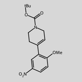 COc1ccc([N+](=O)[O-])cc1C1=CCN(C(=O)OC(C)(C)C)CC1